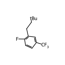 CC(C)(C)CCc1cc(C(F)(F)F)ccc1F